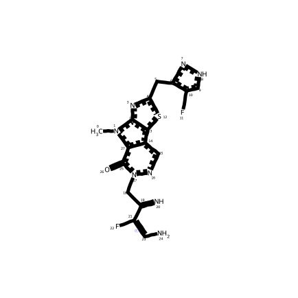 Cn1c2nc(Cc3n[nH]cc3F)sc2c2cnn(CC(=N)/C(F)=C\N)c(=O)c21